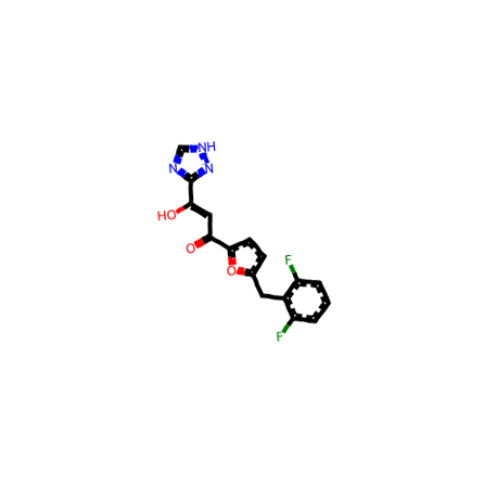 O=C(C=C(O)c1nc[nH]n1)c1ccc(Cc2c(F)cccc2F)o1